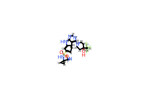 N#CC1(NS(=O)(=O)c2ccc3c(c2)[nH]c2ncnc(N4CCC(O)(C(F)(F)F)CC4)c23)CC1